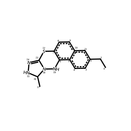 CCc1ccc2c3c(ccc2c1)SC1=NNC(C)N1N3